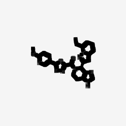 CCc1cccc2cc([C@@H]3c4nc[nH]c4CCN3C(=O)c3nnc(-c4ccc(OC)nc4)o3)nn12